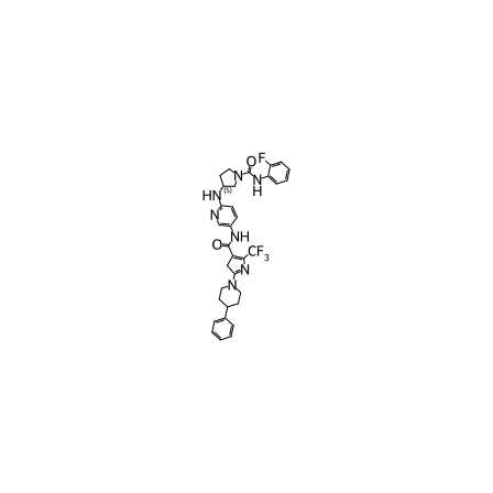 O=C(Nc1ccc(N[C@H]2CCN(C(=O)Nc3ccccc3F)C2)nc1)C1=C(C(F)(F)F)N=C(N2CCC(c3ccccc3)CC2)C1